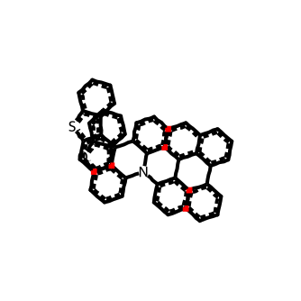 c1ccc(-c2cccc3cccc(-c4ccccc4N(c4ccccc4-c4cccc5sc6ccccc6c45)c4cccc5oc6ccccc6c45)c23)cc1